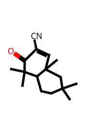 CC1(C)CCC2C(C)(C=C(C#N)C(=O)C2(C)C)C1